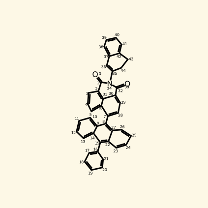 O=C1c2cccc3c(-c4c5ccccc5c(-c5ccccc5)c5ccccc45)ccc(c23)C(=O)N1C1=Cc2ccccc2CC1